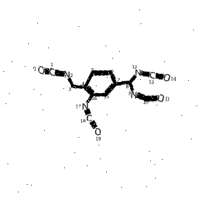 O=C=NCc1ccc(C(N=C=O)N=C=O)cc1N=C=O